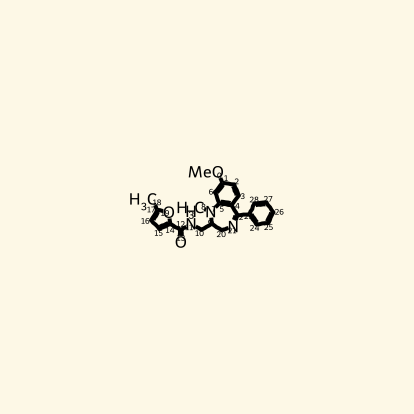 COc1ccc2c(c1)N(C)C(CNC(=O)c1ccc(C)o1)CN=C2c1ccccc1